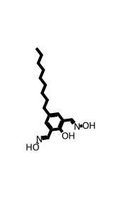 CCCCCCCCCc1cc(C=NO)c(O)c(C=NO)c1